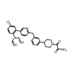 N=CN(N=N)c1ccc(Cl)cc1-c1ccc(Cc2cccc(C3CCN(C(=O)C(N)=O)CC3)c2)nc1